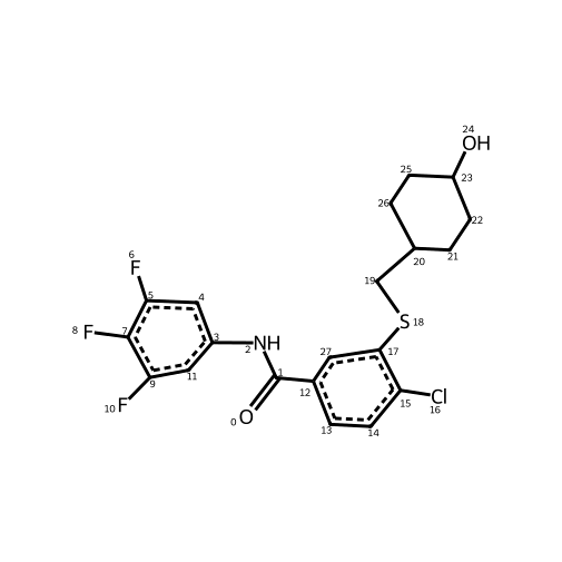 O=C(Nc1cc(F)c(F)c(F)c1)c1ccc(Cl)c(SCC2CCC(O)CC2)c1